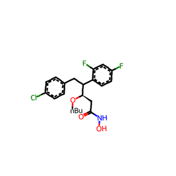 CCCCO[C@H](CC(=O)NO)C(Cc1ccc(Cl)cc1)c1ccc(F)cc1F